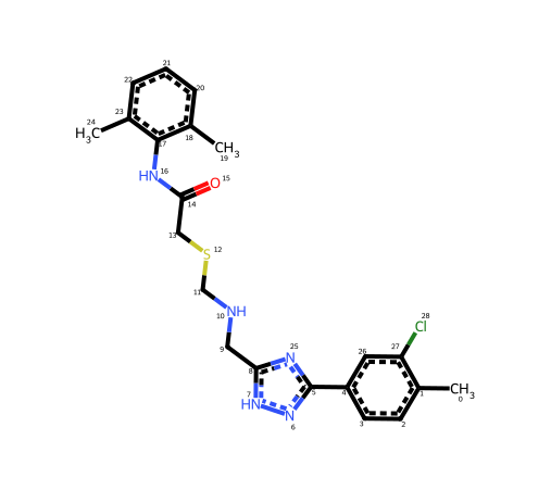 Cc1ccc(-c2n[nH]c(CNCSCC(=O)Nc3c(C)cccc3C)n2)cc1Cl